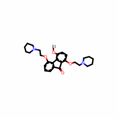 CCOc1ccc(OCCN2CCCCC2)c2c1-c1c(OCCN3CCCCC3)cccc1C2=O